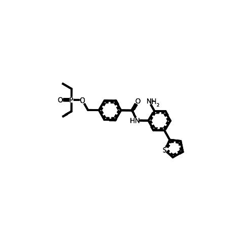 CCP(=O)(CC)OCc1ccc(C(=O)Nc2cc(-c3cccs3)ccc2N)cc1